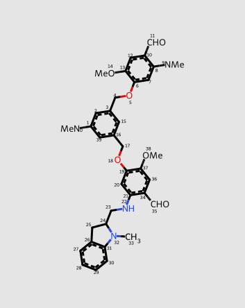 CNc1cc(COc2cc(NC)c(C=O)cc2OC)cc(COc2cc(NCC3Cc4ccccc4N3C)c(C=O)cc2OC)c1